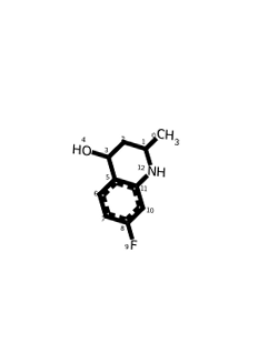 CC1CC(O)c2ccc(F)cc2N1